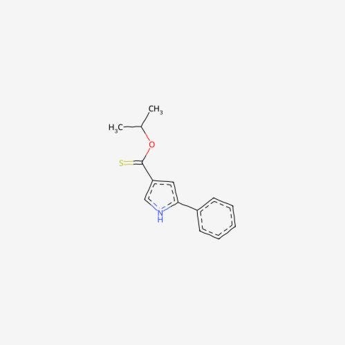 CC(C)OC(=S)c1c[nH]c(-c2ccccc2)c1